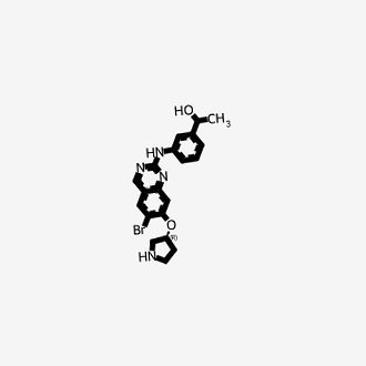 CC(O)c1cccc(Nc2ncc3cc(Br)c(O[C@@H]4CCNC4)cc3n2)c1